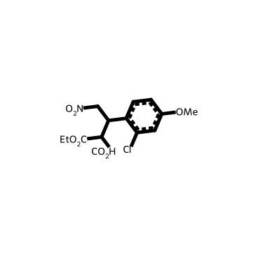 CCOC(=O)C(C(=O)O)C(C[N+](=O)[O-])c1ccc(OC)cc1Cl